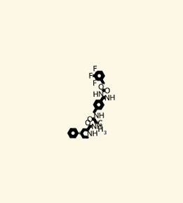 C[C@H](NC(=O)C1C[C@@H](c2ccccc2)CCN1)C(=O)NCc1ccc(C(=N)NC(=O)OCc2ccc(F)c(F)c2F)cc1